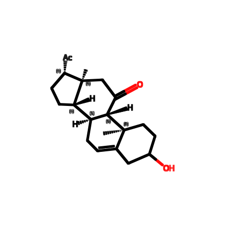 CC(=O)[C@H]1CC[C@H]2[C@@H]3CC=C4CC(O)CC[C@]4(C)[C@H]3C(=O)C[C@]12C